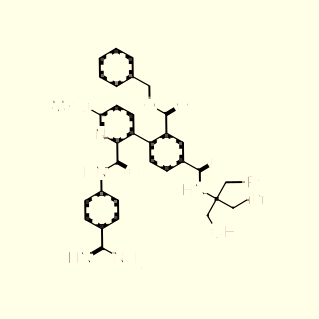 COc1ccc(-c2ccc(C(=O)NC(CO)(CC(C)C)CC(C)C)cc2C(=O)OCc2ccccc2)c(C(=O)Nc2ccc(C(=N)N)cc2)n1